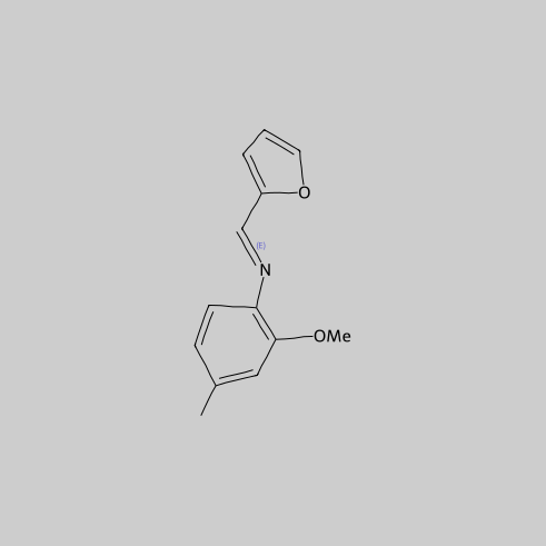 COc1cc(C)ccc1/N=C/c1ccco1